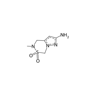 CN1Cc2cc(N)nn2CS1(=O)=O